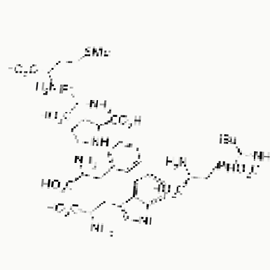 CC(C)C[C@H](N)C(=O)O.CC(C)[C@H](N)C(=O)O.CC[C@H](C)[C@H](N)C(=O)O.CSCC[C@H](N)C(=O)O.N[C@@H](Cc1c[nH]c2ccccc12)C(=O)O.N[C@@H](Cc1ccccc1)C(=O)O.O=C(O)[C@@H]1CCCN1